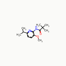 COc1ccc(C(C)C)nc1NC(=O)C(C)(C)C